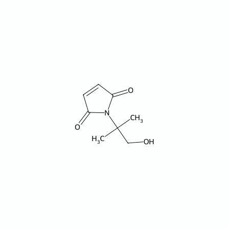 CC(C)(CO)N1C(=O)C=CC1=O